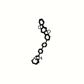 c1ccc2c(c1)oc1cc3c(cc12)oc1ccc(-c2ccc(-c4ccc(-c5cn6ccccc6n5)cc4)cc2)cc13